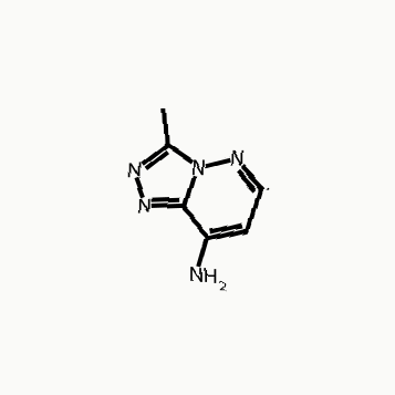 Cc1nnc2c(N)c[c]nn12